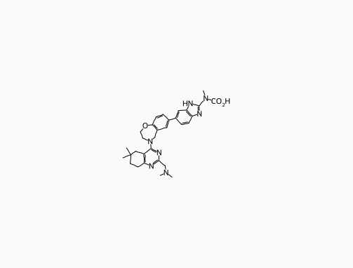 CN(C)Cc1nc2c(c(N3CCOc4ccc(-c5ccc6nc(N(C)C(=O)O)[nH]c6c5)cc4C3)n1)CC(C)(C)CC2